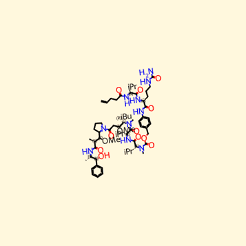 C=CCCC(=O)N[C@H](C(=O)N[C@@H](CCCNC(N)=O)C(=O)Nc1ccc(COC(=O)N(C)[C@@H](C(=O)N[C@@H](C(=O)N(C)[C@H]([C@H](C)CC)[C@H](CC(=O)N2CCCC2[C@@H](OC)[C@H](C)C(=O)N[C@@H](C)[C@H](O)c2ccccc2)OC)C(C)C)C(C)C)cc1)C(C)C